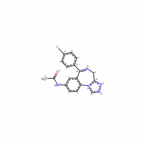 CC(=O)Nc1ccc2c(c1)C(c1ccc(I)cc1)=NCc1nncn1-2